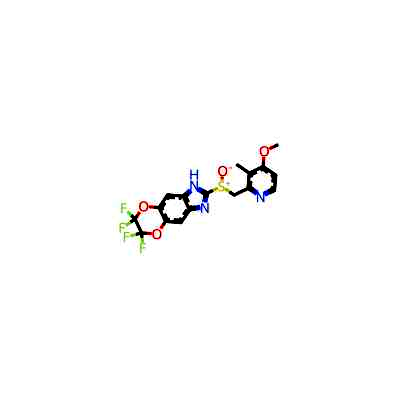 COc1ccnc(C[S+]([O-])c2nc3cc4c(cc3[nH]2)OC(F)(F)C(F)(F)O4)c1C